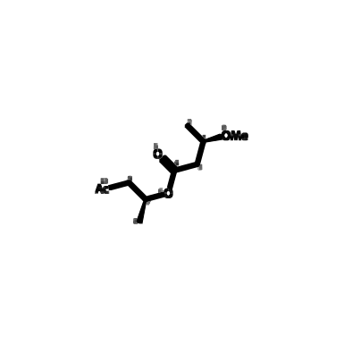 CO[C@H](C)CC(=O)O[C@@H](C)CC(C)=O